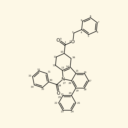 O=C(OCc1ccccc1)C1CCc2c(c3cccc(-c4ccccc4)c3n2C(=O)c2ccccc2)C1